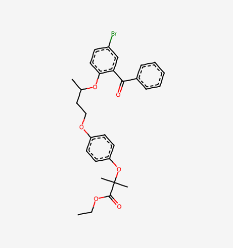 CCOC(=O)C(C)(C)Oc1ccc(OCCC(C)Oc2ccc(Br)cc2C(=O)c2ccccc2)cc1